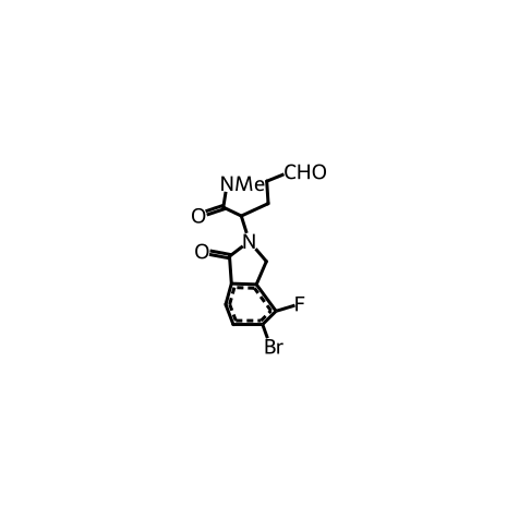 CNC(=O)C(CCC=O)N1Cc2c(ccc(Br)c2F)C1=O